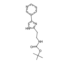 CC(C)(C)OC(=O)NCCc1nc(-c2cccnc2)c[nH]1